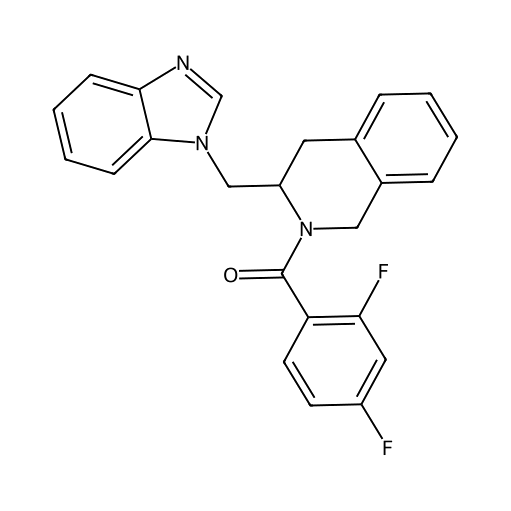 O=C(c1ccc(F)cc1F)N1Cc2ccccc2CC1Cn1cnc2ccccc21